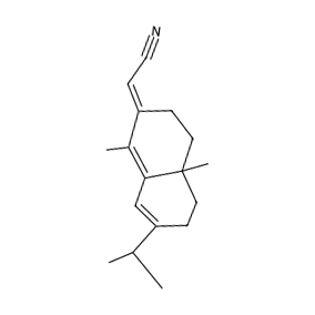 CC1=C2C=C(C(C)C)CCC2(C)CCC1=CC#N